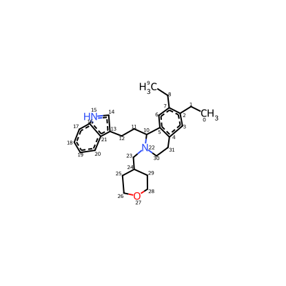 CCc1cc2c(cc1CC)C(CCc1c[nH]c3ccccc13)N(CC1CCOCC1)CC2